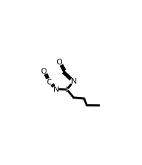 CCCCI(N=C=O)N=C=O